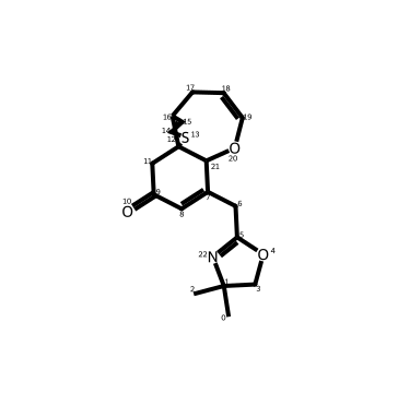 CC1(C)COC(CC2=CC(=O)CC34SCC=C3CC=COC24)=N1